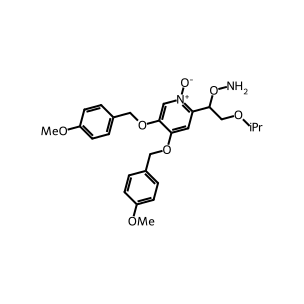 COc1ccc(COc2cc(C(COC(C)C)ON)[n+]([O-])cc2OCc2ccc(OC)cc2)cc1